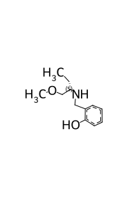 CC[C@@H](COC)NCc1ccccc1O